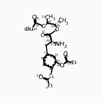 CCC(=O)Oc1ccc(C[C@H](N)C(=O)O[C@@H](C)C(C)OC(=O)C(C)CC)cc1OC(=O)CC